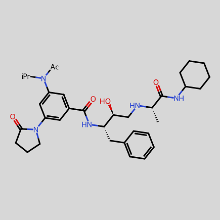 CC(=O)N(c1cc(C(=O)N[C@@H](Cc2ccccc2)[C@@H](O)CN[C@@H](C)C(=O)NC2CCCCC2)cc(N2CCCC2=O)c1)C(C)C